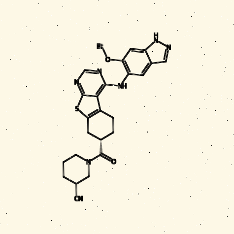 CCOc1cc2[nH]ncc2cc1Nc1ncnc2sc3c(c12)CC[C@H](C(=O)N1CCCC(C#N)C1)C3